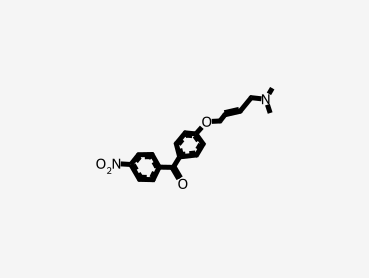 CN(C)C/C=C/COc1ccc(C(=O)c2ccc([N+](=O)[O-])cc2)cc1